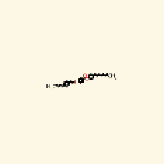 CCCCCCCCC1CCC(OC(=O)c2ccc(OCCCC3CCC(CCCCC)CC3)cc2)CC1